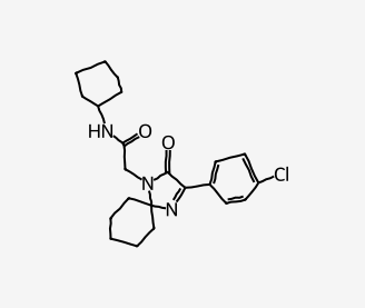 O=C(CN1C(=O)C(c2ccc(Cl)cc2)=NC12CCCCC2)NC1CCCCC1